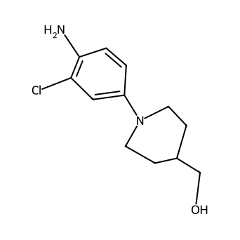 Nc1ccc(N2CCC(CO)CC2)cc1Cl